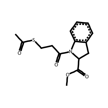 COC(=O)C1Cc2ccccc2N1C(=O)CCSC(C)=O